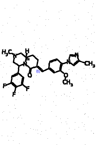 COc1cc(/C=C2\CC[C@H]3CN(C)CC(c4cc(F)c(F)c(F)c4)N3C2=O)ccc1-n1cnc(C)c1